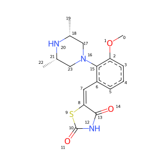 COc1cccc(/C=C2/SC(=O)NC2=O)c1N1C[C@@H](C)N[C@@H](C)C1